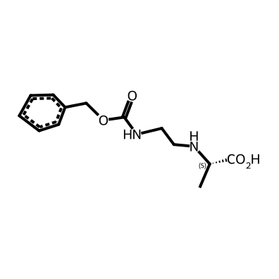 C[C@H](NCCNC(=O)OCc1ccccc1)C(=O)O